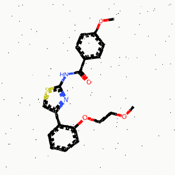 COCCOc1ccccc1-c1csc(NC(=O)c2ccc(OC)cc2)n1